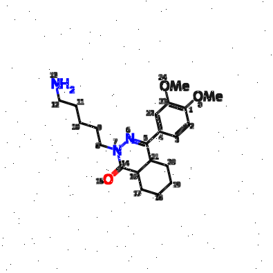 COc1ccc(C2=NN(CCCCCN)C(=O)C3CCCCC23)cc1OC